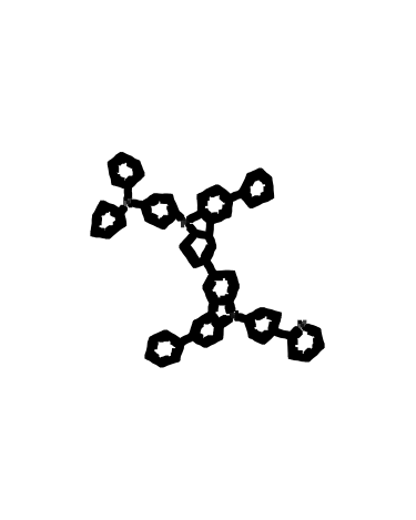 C1=CC2C(C=C1c1ccc3c(c1)c1cc(-c4ccccc4)ccc1n3-c1ccc(-c3ccccn3)cc1)c1cc(-c3ccccc3)ccc1N2c1ccc(N(c2ccccc2)c2ccccc2)cc1